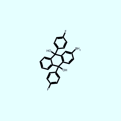 Bc1ccc2c(c1)C(O)(c1ccc(F)cc1)c1ccccc1C2(O)c1ccc(F)cc1